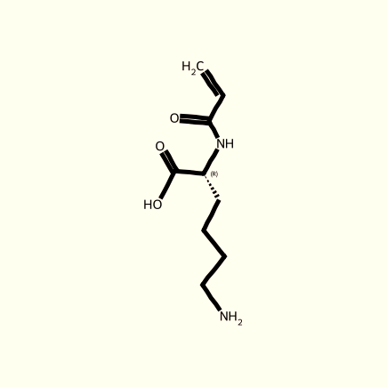 C=CC(=O)N[C@H](CCCCN)C(=O)O